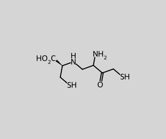 NC(CN[C@@H](CS)C(=O)O)C(=O)CS